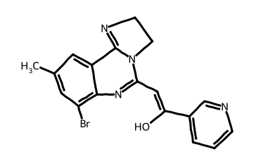 Cc1cc(Br)c2c(c1)C1=NCCN1C(/C=C(\O)c1cccnc1)=N2